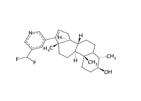 C[C@H]1C2CC[C@@H]3[C@H](CC[C@]4(C)C(c5cncc(C(F)F)c5)=CC[C@@H]34)[C@@]2(C)CC[C@@H]1O